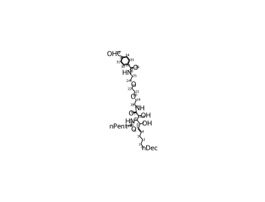 CCCCCCCCCCCCCC=CC(O)C(NC(=O)CCCCC)C(O)C(=O)NCCOCCOCCNC(=O)c1ccc(C=O)cc1